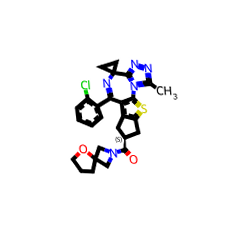 Cc1nnc2n1-c1sc3c(c1C(c1ccccc1Cl)=NC21CC1)C[C@H](C(=O)N1CC2(CCCO2)C1)C3